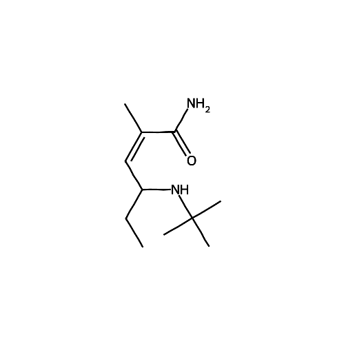 CCC(C=C(C)C(N)=O)NC(C)(C)C